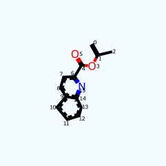 C=C(C)OC(=O)c1ccc2ccccc2n1